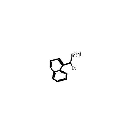 CCCCCC(CC)c1cccc2ccccc12